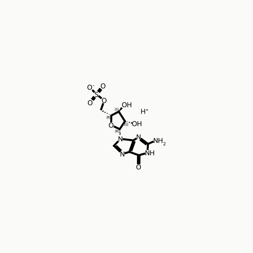 Nc1nc2c(ncn2[C@@H]2O[C@H](COS(=O)(=O)[O-])[C@@H](O)[C@@H]2O)c(=O)[nH]1.[H+]